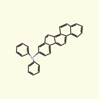 c1ccc(N(c2ccccc2)c2ccc3c(ccc4c3ccc3c5ccccc5ccc34)c2)cc1